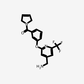 NCc1cc(Oc2cccc(C(=O)N3CC=CC3)c2)nc(C(F)(F)F)c1